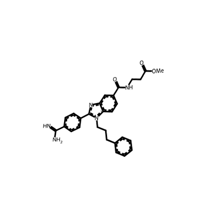 COC(=O)CCNC(=O)c1ccc2c(c1)nc(-c1ccc(C(=N)N)cc1)n2CCCc1ccccc1